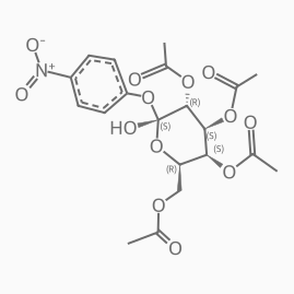 CC(=O)OC[C@H]1O[C@](O)(Oc2ccc([N+](=O)[O-])cc2)[C@H](OC(C)=O)[C@@H](OC(C)=O)[C@H]1OC(C)=O